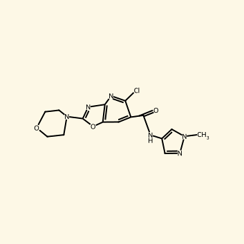 Cn1cc(NC(=O)c2cc3oc(N4CCOCC4)nc3nc2Cl)cn1